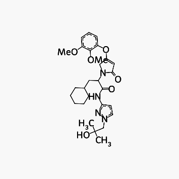 COc1cccc(OC2=CC(=O)N(C(CC3CCCCC3)C(=O)Nc3ccn(CC(C)(C)O)n3)C2)c1OC